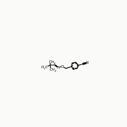 CC(C)(C)C=NOCc1ccc(C#N)cc1